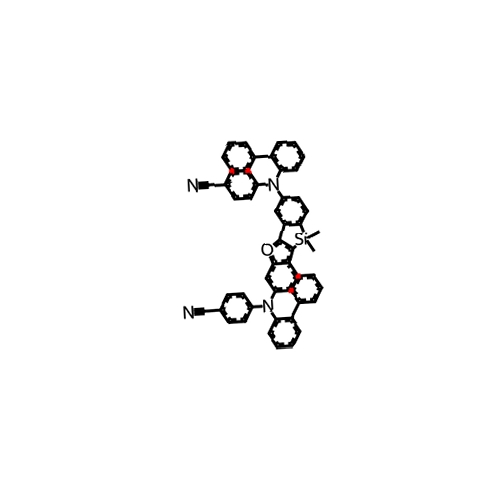 C[Si]1(C)c2ccc(N(c3ccc(C#N)cc3)c3ccccc3-c3ccccc3)cc2-c2oc3cc(N(c4ccc(C#N)cc4)c4ccccc4-c4ccccc4)ccc3c21